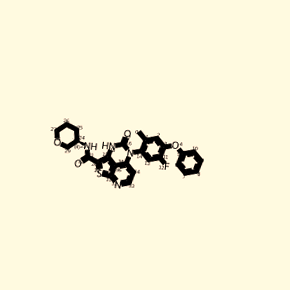 Cc1cc(Oc2ccccc2)c(F)cc1N1C(=O)Nc2c(C(=O)N[C@@H]3CCCOC3)sc3nccc1c23